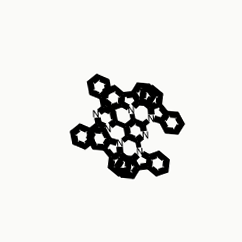 c1ccc(-c2cc(-c3c(-n4c5ccccc5c5ccccc54)c(-n4c5ccccc5c5ccccc54)nc(-n4c5ccccc5c5ccccc54)c3-n3c4ccccc4c4ccccc43)nc(-c3ccccc3)n2)cc1